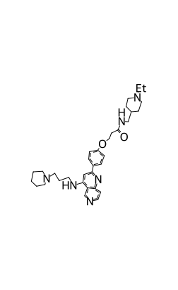 CCN1CCC(CNC(=O)CCOc2ccc(-c3cc(NCCCN4CCCCC4)c4cnccc4n3)cc2)CC1